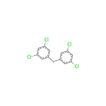 Clc1cc(Cl)cc([CH]c2cc(Cl)cc(Cl)c2)c1